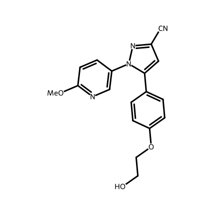 COc1ccc(-n2nc(C#N)cc2-c2ccc(OCCO)cc2)cn1